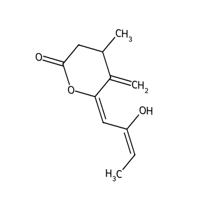 C=C1/C(=C\C(O)=C/C)OC(=O)CC1C